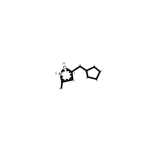 Cc1cc(CC2CCCC2)on1